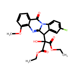 CCOC(=O)C(O)(C(=O)OCC)C1c2cc(F)ccc2-n2c1nc1c(OC)cccc1c2=O